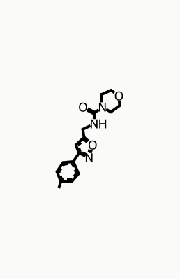 Cc1ccc(-c2cc(CNC(=O)N3CCOCC3)on2)cc1